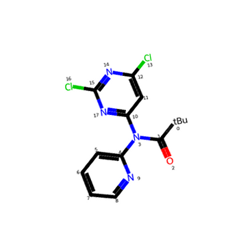 CC(C)(C)C(=O)N(c1ccccn1)c1cc(Cl)nc(Cl)n1